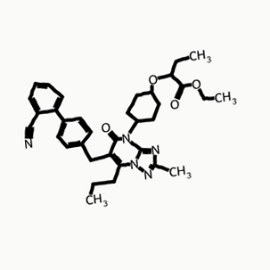 CCCc1c(Cc2ccc(-c3ccccc3C#N)cc2)c(=O)n(C2CCC(OC(CC)C(=O)OCC)CC2)c2nc(C)nn12